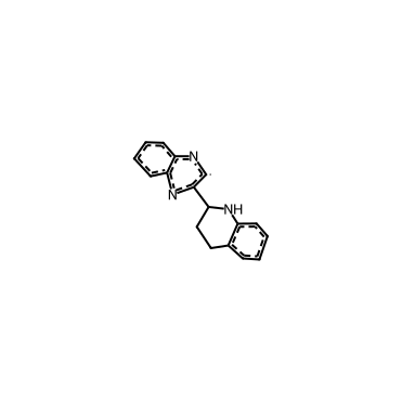 [c]1nc2ccccc2nc1C1CCc2ccccc2N1